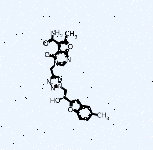 Cc1ccc2oc([C@@H](O)Cn3nnc(Cn4cnc5oc(C)c(C(N)=O)c5c4=O)n3)cc2c1